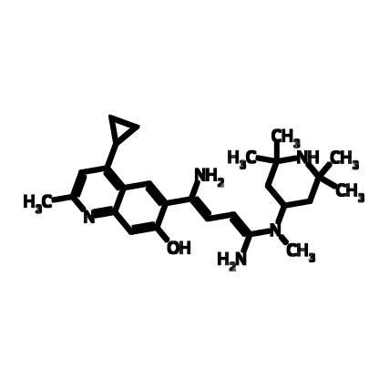 Cc1cc(C2CC2)c2cc(/C(N)=C/C=C(\N)N(C)C3CC(C)(C)NC(C)(C)C3)c(O)cc2n1